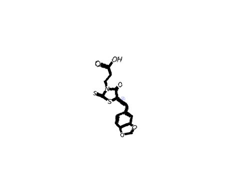 O=C(O)CCN1C(=O)/C(=C/c2ccc3c(c2)OCO3)SC1=S